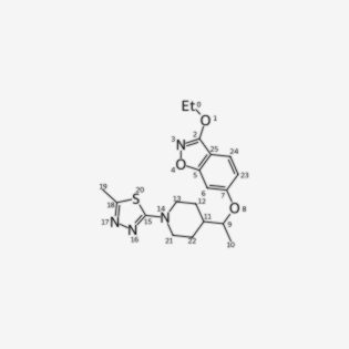 CCOc1noc2cc(OC(C)C3CCN(c4nnc(C)s4)CC3)ccc12